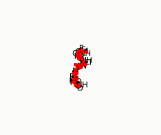 C[C@H]1CN(c2ncc(Cl)c(Nc3ccc4c(c3)c3c(c(=O)n4C)OCC(F)(F)[C@H](C4CC4)N3)n2)CC[C@@H]1CN1CCC(c2ccc3c(C4CCC(=O)NC4=O)nn(C)c3c2F)CC1